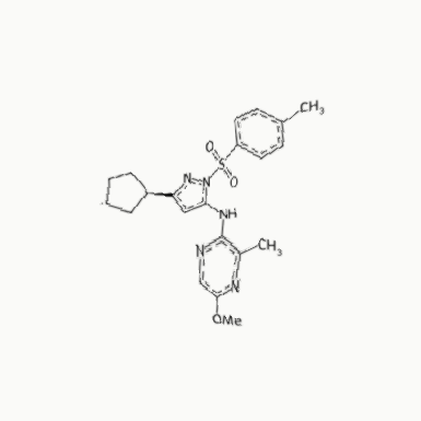 COc1cnc(Nc2cc([C@H]3C[CH]CC3)nn2S(=O)(=O)c2ccc(C)cc2)c(C)n1